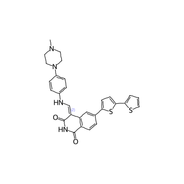 CN1CCN(c2ccc(N/C=C3\C(=O)NC(=O)c4ccc(-c5ccc(-c6cccs6)s5)cc43)cc2)CC1